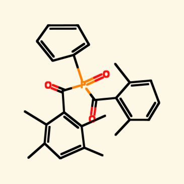 Cc1cc(C)c(C)c(C(=O)P(=O)(C(=O)c2c(C)cccc2C)c2ccccc2)c1C